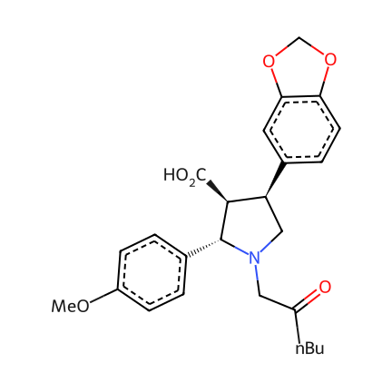 CCCCC(=O)CN1C[C@H](c2ccc3c(c2)OCO3)[C@H](C(=O)O)[C@H]1c1ccc(OC)cc1